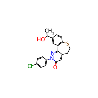 CC(O)c1ccc2c(c1)-c1nn(-c3ccc(Cl)cc3)c(=O)cc1CCS2